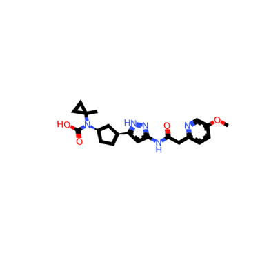 COc1ccc(CC(=O)Nc2cc([C@H]3CC[C@@H](N(C(=O)O)C4(C)CC4)C3)[nH]n2)nc1